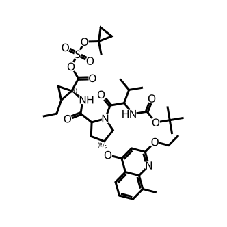 CCOc1cc(O[C@@H]2CC(C(=O)N[C@]3(C(=O)OS(=O)(=O)OC4(C)CC4)CC3CC)N(C(=O)C(NC(=O)OC(C)(C)C)C(C)C)C2)c2cccc(C)c2n1